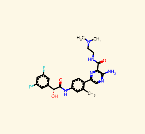 Cc1cc(NC(=O)[C@H](O)c2cc(F)cc(F)c2)ccc1-c1cnc(N)c(C(=O)NCCN(C)C)n1